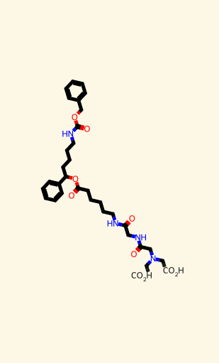 O=C(O)CN(CC(=O)O)CC(=O)NCC(=O)NCCCCCC(=O)OC(CCCCNC(=O)OCc1ccccc1)c1ccccc1